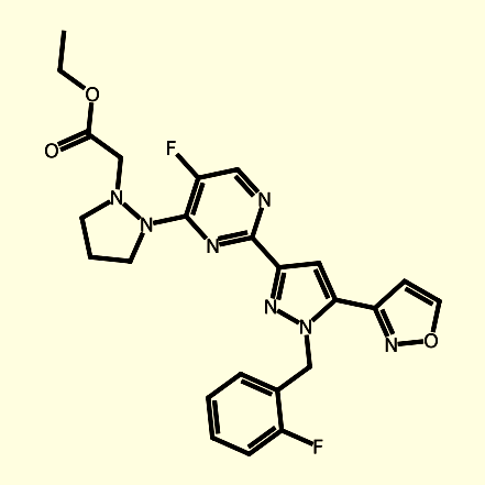 CCOC(=O)CN1CCCN1c1nc(-c2cc(-c3ccon3)n(Cc3ccccc3F)n2)ncc1F